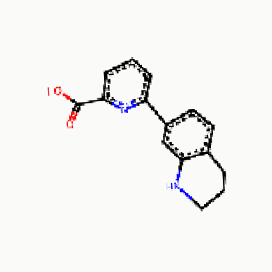 O=C(O)c1cccc(-c2ccc3c(c2)NCCC3)n1